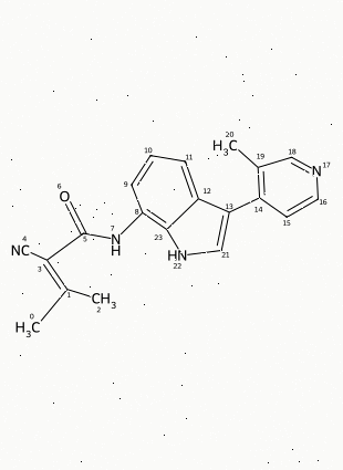 CC(C)=C(C#N)C(=O)Nc1cccc2c(-c3ccncc3C)c[nH]c12